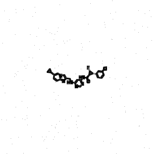 O=C(Nc1cc(NCc2cn3cc(C4CC4)ccc3n2)ncn1)[C@H]1[C@H](F)[C@@H]1c1cccc(Cl)c1